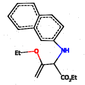 C=C(OCC)C(Nc1ccc2ccccc2c1)C(=O)OCC